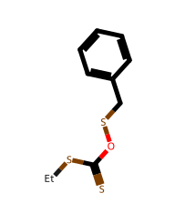 CCSC(=S)OSCc1ccccc1